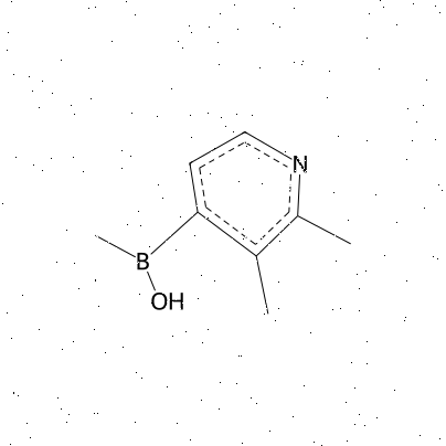 CB(O)c1ccnc(C)c1C